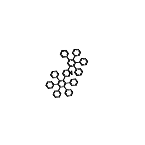 c1ccc(-c2cc(-c3ccc(-c4c(-c5ccccc5)c(-c5ccccc5)c(-c5ccccc5)c(-c5ccccc5)c4-c4ccccc4)cn3)c(-c3ccccc3)c(-c3ccccc3)c2-c2ccccc2)cc1